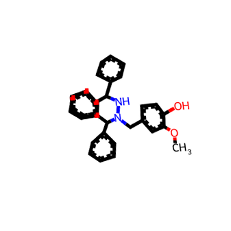 COc1cc(CN(NC(c2ccccc2)c2ccccc2)C(c2ccccc2)c2ccccc2)ccc1O